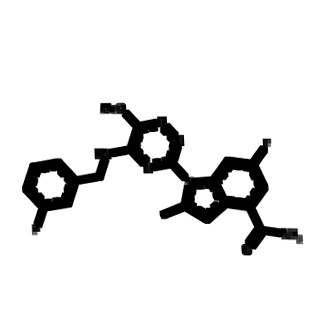 COc1nnc(-n2c(C)cc3c(C(N)=O)cc(F)cc32)nc1NCc1cccc(F)c1